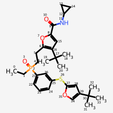 CCP(=O)(CCc1oc(C(=O)NC2CC2)cc1C(C)(C)C)c1cccc(Sc2cc(C(C)(C)C)co2)c1